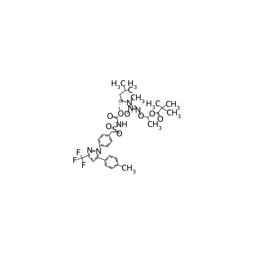 Cc1ccc(-c2cc(C(F)(F)F)nn2-c2ccc(S(=O)(=O)NC(=O)OC[C@H](CC(C)C)N(C)[N+]([O-])=NOC(C)OC(=O)C(C)(C)C)cc2)cc1